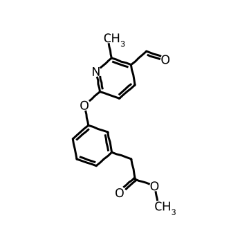 COC(=O)Cc1cccc(Oc2ccc(C=O)c(C)n2)c1